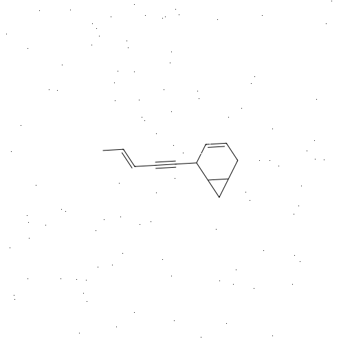 CC=CC#CC1C=CCC2CC12